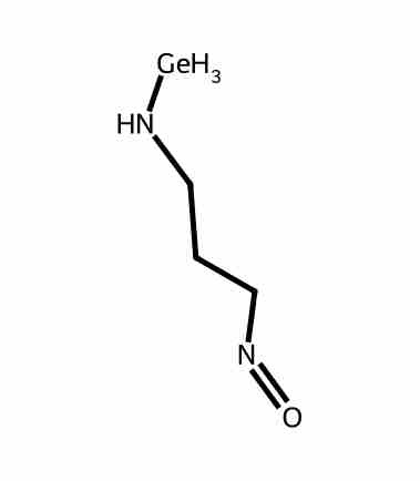 O=NCCC[NH][GeH3]